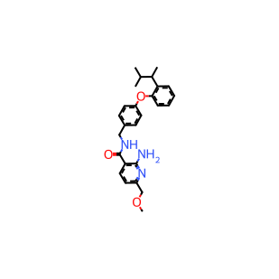 COCc1ccc(C(=O)NCc2ccc(Oc3ccccc3C(C)C(C)C)cc2)c(N)n1